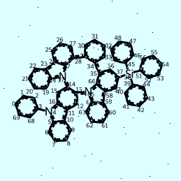 c1ccc(-n2c3ccccc3c3cc4c(cc32)n2c3ccccc3c3cccc(c5ccccc5c5cc([Si](c6ccccc6)(c6ccccc6)c6ccccc6)cc6c7ccccc7n4c56)c32)cc1